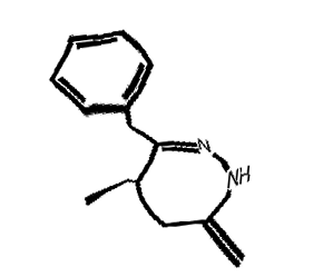 C=C1C[C@@H](C)C(c2ccccc2)=NN1